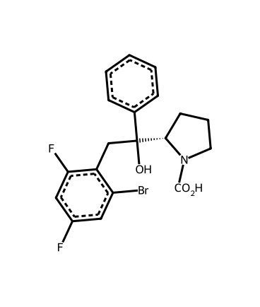 O=C(O)N1CCC[C@H]1C(O)(Cc1c(F)cc(F)cc1Br)c1ccccc1